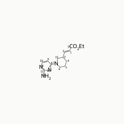 CCOC(=O)/C=C/C1CCCN(c2ccnc(N)n2)C1